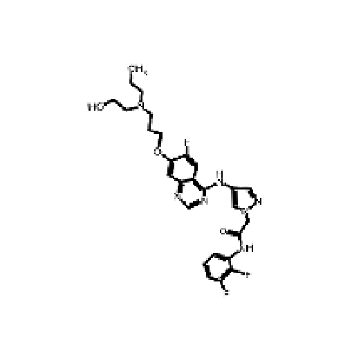 CCCN(CCO)CCCOc1cc2ncnc(Nc3cnn(CC(=O)Nc4cccc(F)c4F)c3)c2cc1F